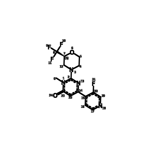 Cn1c(N2CCO[C@H](C(F)(F)F)C2)nc(-c2ccncc2F)cc1=O